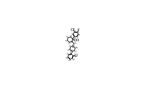 OC1(c2ccc(F)c(Cl)c2)CCCCC1CN1CCN(c2ccccc2Cl)CC1